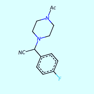 CC(=O)N1CCN(C(C#N)c2ccc(F)cc2)CC1